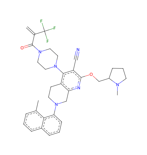 C=C(C(=O)N1CCN(c2c(C#N)c(OCC3CCCN3C)nc3c2CCN(c2cccc4cccc(C)c24)C3)CC1)C(F)(F)F